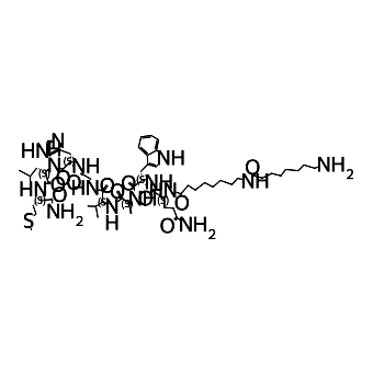 CSCC[C@H](NC(=O)[C@H](CC(C)C)NC(=O)[C@H](Cc1c[nH]cn1)NC(=O)CNC(=O)[C@@H](NC(=O)[C@H](C)NC(=O)[C@H](Cc1c[nH]c2ccccc12)NC(=O)[C@H](CCC(N)=O)NC(=O)CCCCCCCNC(=O)CCCCCCCN)C(C)C)C(N)=O